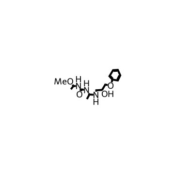 COC(C)NC(=O)NC(C)NCC(O)COc1ccccc1